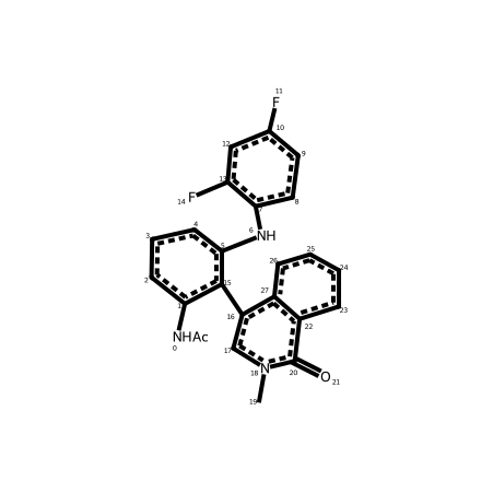 CC(=O)Nc1cccc(Nc2ccc(F)cc2F)c1-c1cn(C)c(=O)c2ccccc12